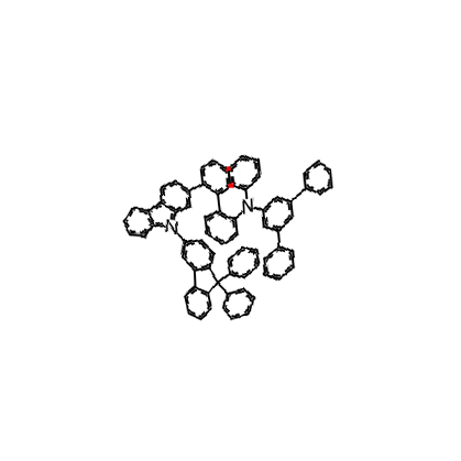 c1ccc(-c2cc(-c3ccccc3)cc(N(c3ccccc3)c3ccccc3-c3ccccc3-c3ccc4c5ccccc5n(-c5ccc6c(c5)-c5ccccc5C6(c5ccccc5)c5ccccc5)c4c3)c2)cc1